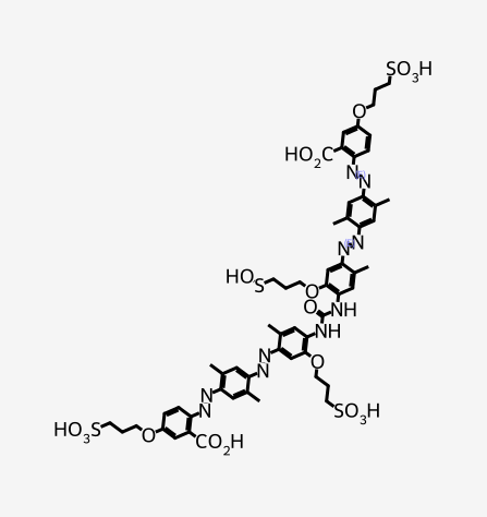 Cc1cc(N=Nc2ccc(OCCCS(=O)(=O)O)cc2C(=O)O)c(C)cc1N=Nc1cc(OCCCS(=O)(=O)O)c(NC(=O)Nc2cc(C)c(/N=N/c3cc(C)c(/N=N/c4ccc(OCCCS(=O)(=O)O)cc4C(=O)O)cc3C)cc2OCCCSO)cc1C